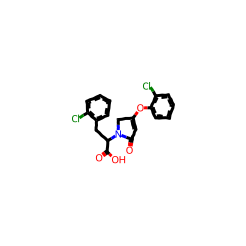 O=C(O)C(Cc1ccccc1Cl)N1CC(Oc2ccccc2Cl)=CC1=O